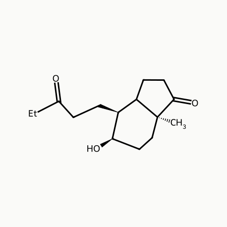 CCC(=O)CC[C@H]1C2CCC(=O)[C@@]2(C)CC[C@H]1O